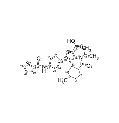 CC1CCC(C(=O)N(c2cc(-c3ccc(NC(=O)c4cccs4)cc3)sc2C(=O)O)C(C)C)CC1